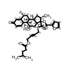 CC(C)CCC(=O)OCC#CCSC(=O)[C@]1(OC(=O)c2ccco2)[C@H](C)C[C@H]2[C@@H]3C[C@H](F)C4=CC(=O)C=C[C@]4(C)[C@@]3(F)[C@@H](O)C[C@@]21C